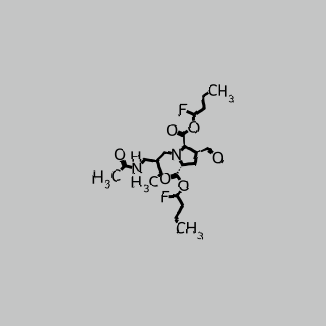 CCCC(F)OC(=O)[C@H]1C[C@H](C=O)[C@H](C(=O)OC(F)CCC)N1CC(CC)CNC(C)=O